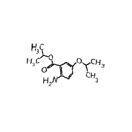 CC(C)OC(=O)c1cc(OC(C)C)ccc1N